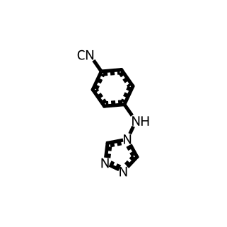 [C-]#[N+]c1ccc(Nn2cnnc2)cc1